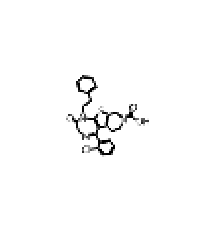 O=C(O)N1CCc2c(sc3c2C(c2ccccc2Cl)=NCC(=O)N3CCc2ccccc2)C1